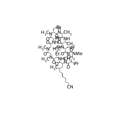 CC[C@H](NC(=O)C(C[C@H](C)C/C=C/CCCC#N)N(C)C(=O)CC(C)C)C(=O)N(C)CC(=O)N(C)[C@@H](CC(C)C)C(=O)N[C@H](C(=O)N(C)[C@@H](CC(C)C)C(=O)NC(C)C(=O)N[C@@H](C)C(=O)N(C)[C@@H](CC(C)C)C(=O)N(C)C(=O)NC)C(C)C